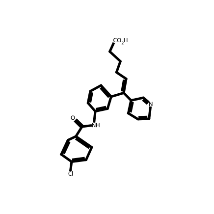 O=C(O)CCCC=C(c1cccnc1)c1cccc(NC(=O)c2ccc(Cl)cc2)c1